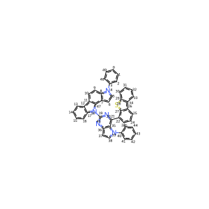 c1ccc(-n2ccc3c2ccc2c4ccccc4n(-c4nc(-c5cccc6c5sc5ccccc56)c5c(ccn5-c5ccccc5)n4)c23)cc1